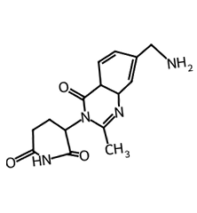 CC1=NC2C=C(CN)C=CC2C(=O)N1C1CCC(=O)NC1=O